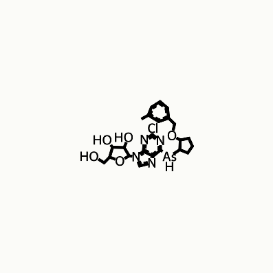 Cc1cccc(COC2CCCC2[AsH]c2nc(Cl)nc3c2ncn3C2OC(CO)C(O)C2O)c1